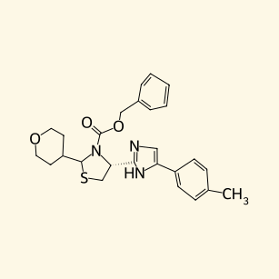 Cc1ccc(-c2cnc([C@@H]3CSC(C4CCOCC4)N3C(=O)OCc3ccccc3)[nH]2)cc1